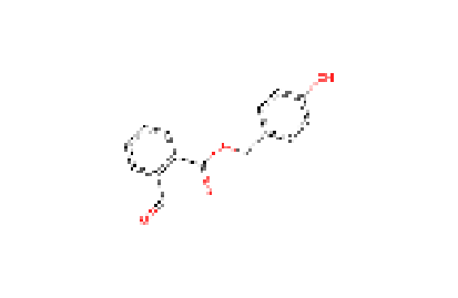 O=Cc1ccccc1C(=O)OCc1ccc(O)cc1